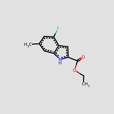 CCOC(=O)c1cc2c(F)cc(C)cc2[nH]1